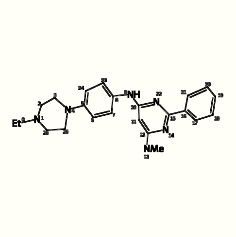 CCN1CCN(c2ccc(Nc3cc(NC)nc(-c4ccccc4)n3)cc2)CC1